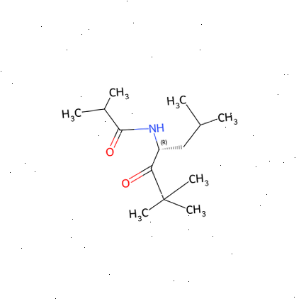 CC(C)C[C@@H](NC(=O)C(C)C)C(=O)C(C)(C)C